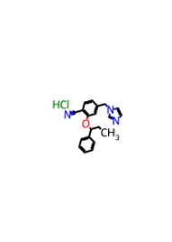 CCC(Oc1cc(Cn2ccnc2)ccc1C#N)c1ccccc1.Cl